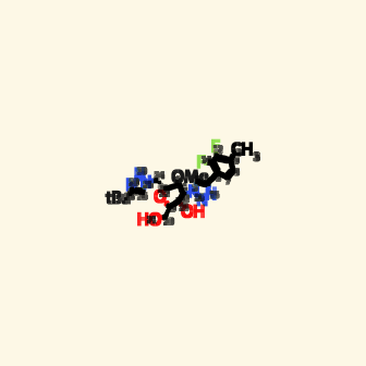 CO[C@@H]1[C@@H](n2cc(-c3ccc(C)c(F)c3F)nn2)[C@@H](O)[C@@H](CO)O[C@@H]1Cn1cc(C(C)(C)C)nn1